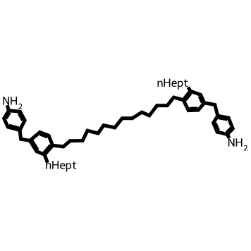 CCCCCCCc1cc(Cc2ccc(N)cc2)ccc1CCCCCCCCCCCCCCc1ccc(Cc2ccc(N)cc2)cc1CCCCCCC